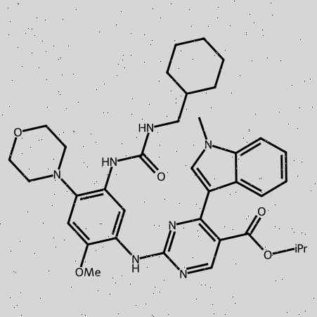 COc1cc(N2CCOCC2)c(NC(=O)NCC2CCCCC2)cc1Nc1ncc(C(=O)OC(C)C)c(-c2cn(C)c3ccccc23)n1